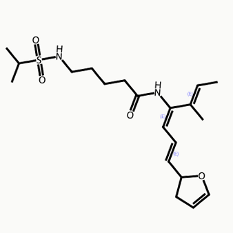 C/C=C(C)/C(=C\C=C\C1CC=CO1)NC(=O)CCCCNS(=O)(=O)C(C)C